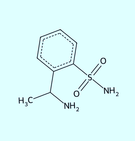 CC(N)c1ccccc1S(N)(=O)=O